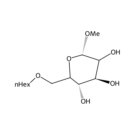 CCCCCCOCC1O[C@H](OC)C(O)[C@@H](O)[C@@H]1O